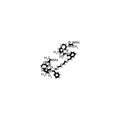 CN[C@@H](C)C(=O)N[C@H]1CCS[C@H]2CC(C)(C)C(C(=O)N[C@H](COCCOCCOCCc3ccccc3CNC(=O)[C@H]3N4C(=O)[C@@H](NC(=O)[C@H](C)NC)CCSC4CC3(C)C)c3ccccc3)N2C1=O